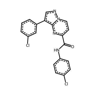 O=C(Nc1ccc(Cl)cc1)c1ccn2ncc(-c3cccc(Cl)c3)c2n1